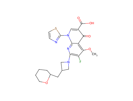 COc1c(F)c(N2CC(CC3CCCCO3)C2)nc2c1c(=O)c(C(=O)O)cn2-c1nccs1